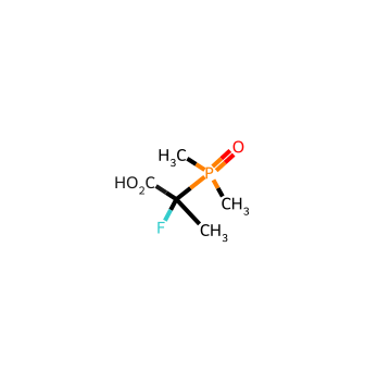 CC(F)(C(=O)O)P(C)(C)=O